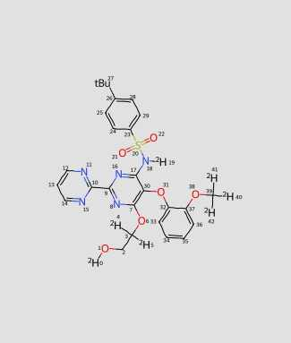 [2H]OCC([2H])([2H])Oc1nc(-c2ncccn2)nc(N([2H])S(=O)(=O)c2ccc(C(C)(C)C)cc2)c1Oc1ccccc1OC([2H])([2H])[2H]